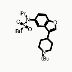 CCC(C)S(=O)(=O)N(c1ccc2occ(C3CCN(C(C)(C)C)CC3)c2c1)C(C)C